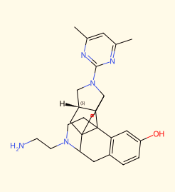 Cc1cc(C)nc(N2C[C@H]3CC45CCC2C3C42CCN(CCN)C5Cc3ccc(O)cc32)n1